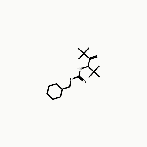 C=C(C(NC(=O)OCC1CCCCC1)C(C)(C)C)C(C)(C)C